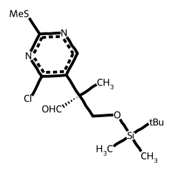 CSc1ncc([C@](C)(C=O)CO[Si](C)(C)C(C)(C)C)c(Cl)n1